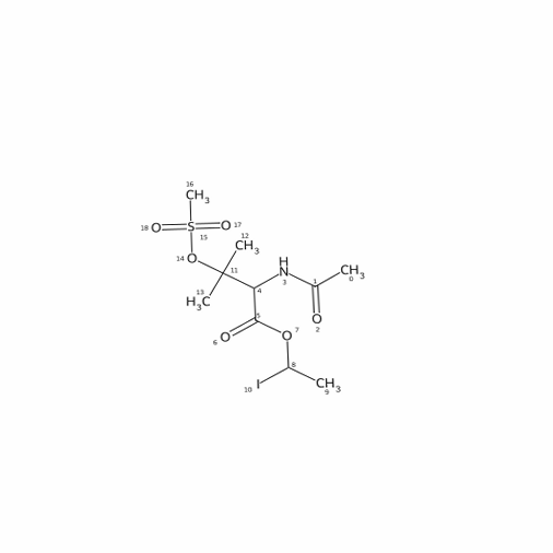 CC(=O)NC(C(=O)OC(C)I)C(C)(C)OS(C)(=O)=O